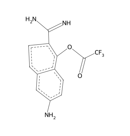 N=C(N)c1ccc2cc(N)ccc2c1OC(=O)C(F)(F)F